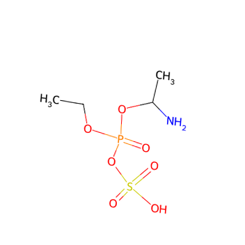 CCOP(=O)(OC(C)N)OS(=O)(=O)O